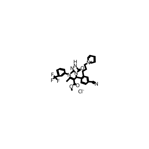 COC(=O)C1=C(C)N(c2cccc(C(F)(F)F)c2)c2n[nH]c(=O)n2C1c1ccc(C#N)cc1CCC[n+]1ccccc1.[Cl-]